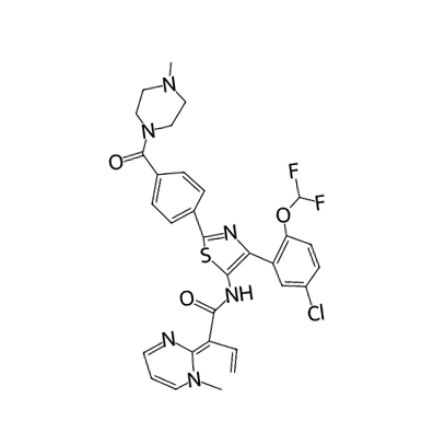 C=C/C(C(=O)Nc1sc(-c2ccc(C(=O)N3CCN(C)CC3)cc2)nc1-c1cc(Cl)ccc1OC(F)F)=C1/N=CC=CN1C